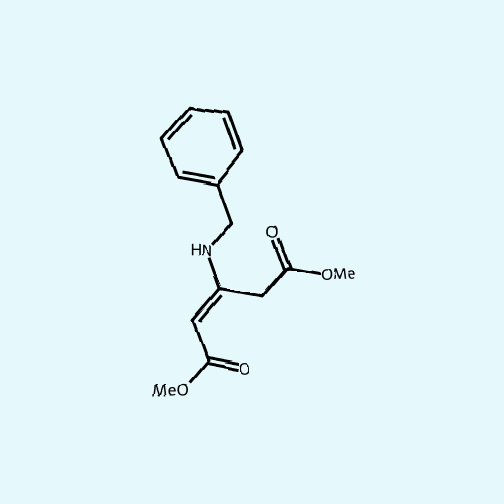 COC(=O)C=C(CC(=O)OC)NCc1ccccc1